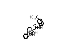 O=C(CN1CCCN(c2ccccc2)S1(O)O)NC1C2CC3CC1CC(C(=O)O)(C3)C2